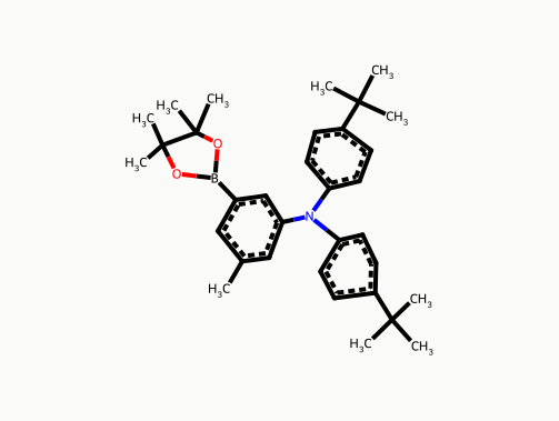 Cc1cc(B2OC(C)(C)C(C)(C)O2)cc(N(c2ccc(C(C)(C)C)cc2)c2ccc(C(C)(C)C)cc2)c1